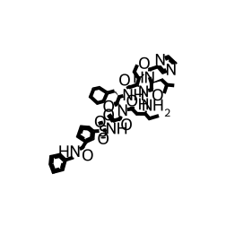 CC[C@H](N)CC(=O)N(C(=O)C(=O)NS(=O)(=O)c1cccc(C(=O)NCc2ccccc2)c1)C(=O)[C@H](CC1CCCCC1)NC(=O)[C@@H](NC(=O)[C@H](CC(C)C)NC(=O)c1cnccn1)[C@@H](C)CC